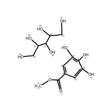 COC(=O)c1cc(O)c(O)c(O)c1.OCC(O)C(O)C(O)CO